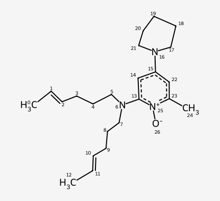 CC=CCCCN(CCCC=CC)c1cc(N2CCCCC2)cc(C)[n+]1[O-]